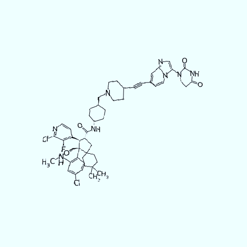 CNc1cc(Cl)ccc1[C@]1(C=O)[C@@H](c2ccnc(Cl)c2F)[C@H](C(=O)N[C@H]2CC[C@H](CN3CCC(C#Cc4ccn5c(N6CCC(=O)NC6=O)cnc5c4)CC3)CC2)CC12CCC(C)(C)CC2